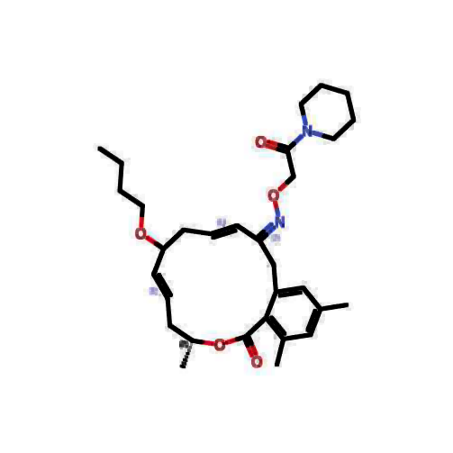 CCCCOC1/C=C/C[C@@H](C)OC(=O)c2c(C)cc(C)cc2CC(=N/OCC(=O)N2CCCCC2)/C=C/C1